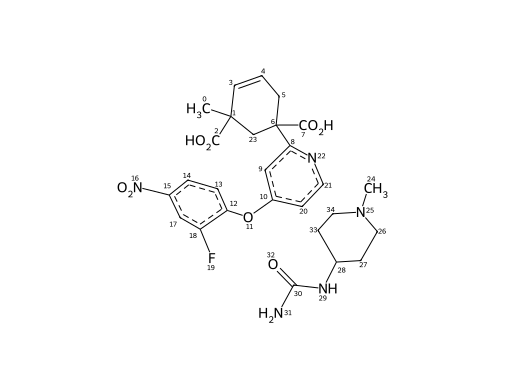 CC1(C(=O)O)C=CCC(C(=O)O)(c2cc(Oc3ccc([N+](=O)[O-])cc3F)ccn2)C1.CN1CCC(NC(N)=O)CC1